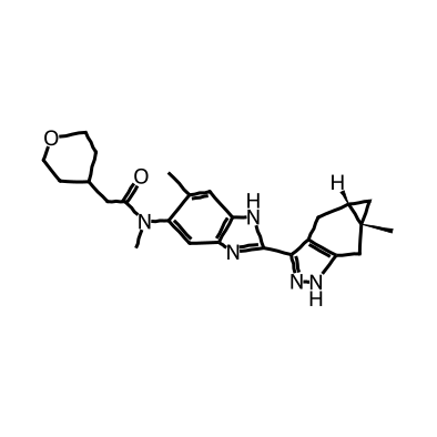 Cc1cc2[nH]c(-c3n[nH]c4c3C[C@@H]3C[C@]3(C)C4)nc2cc1N(C)C(=O)CC1CCOCC1